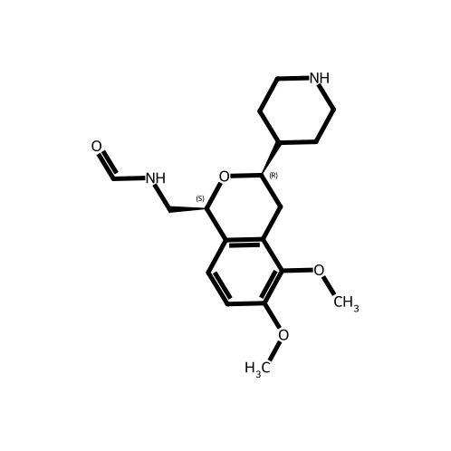 COc1ccc2c(c1OC)C[C@H](C1CCNCC1)O[C@@H]2CNC=O